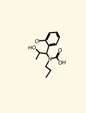 CCCN(C(=O)O)C(c1ccccc1Cl)C(C)O